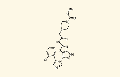 CC(C)(C)OC(=O)N1CCC(CC(=O)Nc2nc3[nH]nc(-n4cncc4-c4ccccc4Cl)c3s2)CC1